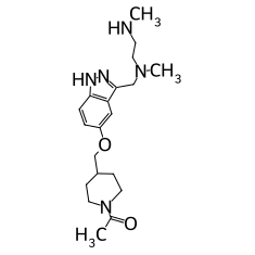 CNCCN(C)Cc1n[nH]c2ccc(OCC3CCN(C(C)=O)CC3)cc12